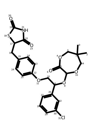 CC1(C)COC(=O)C(OC(COc2ccc(CC3SC(=O)NC3=O)cc2)c2cccc(Cl)c2)OC1